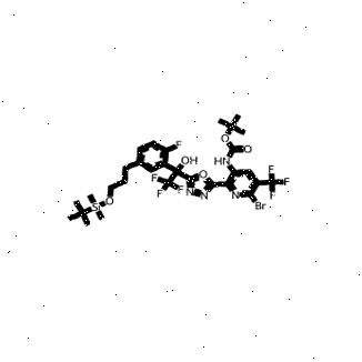 CC(C)(C)OC(=O)Nc1cc(C(F)(F)F)c(Br)nc1-c1nnc(C(O)(c2cc(CCCO[Si](C)(C)C(C)(C)C)ccc2F)C(F)(F)F)o1